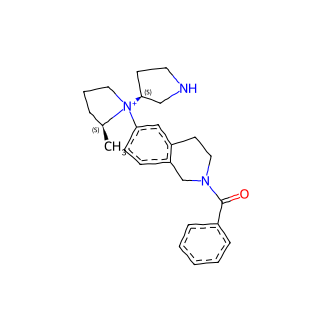 C[C@H]1CCC[N+]1(c1ccc2c(c1)CCN(C(=O)c1ccccc1)C2)[C@H]1CCNC1